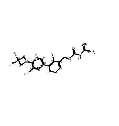 N=C(N)NC(=O)OCC1=CCCC(c2cnc(N3CC(F)(F)C3)c(F)c2)=C1F